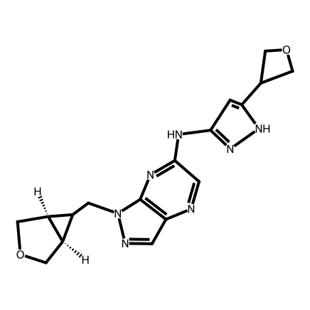 c1nc2cnn(CC3[C@H]4COC[C@@H]34)c2nc1Nc1cc(C2COC2)[nH]n1